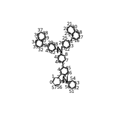 C1=CC2c3cc(-c4ccc(N(c5ccc(-c6cccc7ccccc67)cc5)c5ccc(-c6cccc7ccccc67)cc5)cc4)ccc3N(c3ccccc3)C2C=C1